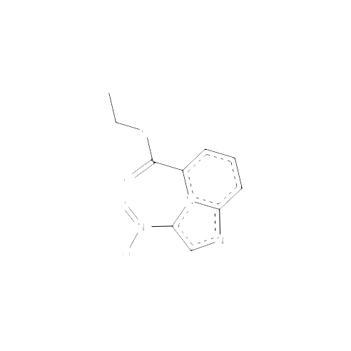 CCOC(=O)c1cccc2ncc([N+](=O)[O-])n12